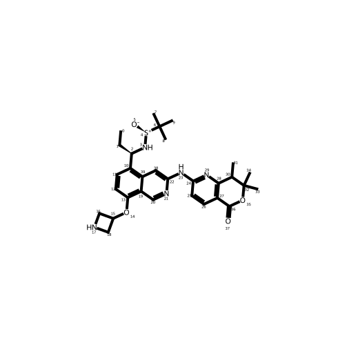 CC[C@@H](N[S@@+]([O-])C(C)(C)C)c1ccc(OC2CNC2)c2cnc(Nc3ccc4c(n3)C(C)C(C)(C)OC4=O)cc12